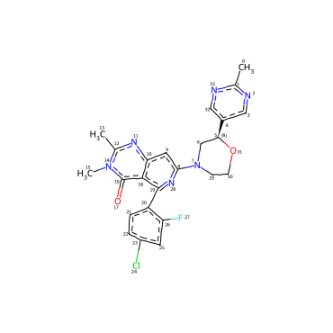 Cc1ncc([C@@H]2CN(c3cc4nc(C)n(C)c(=O)c4c(-c4ccc(Cl)cc4F)n3)CCO2)cn1